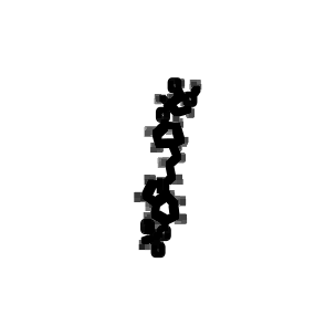 CC[C@](C)(Oc1ccc(CCCn2ccc3cc(OS(C)(=O)=O)ccc32)cc1)C(=O)OC